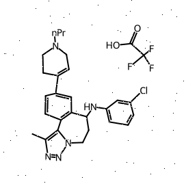 CCCN1CC=C(c2ccc3c(c2)C(Nc2cccc(Cl)c2)CCn2nnc(C)c2-3)CC1.O=C(O)C(F)(F)F